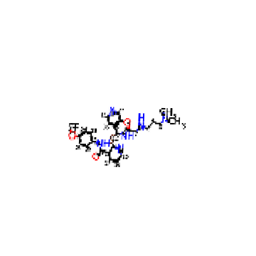 CN(C)CCCNCC(=O)NC(Sc1ncccc1C(=O)Nc1ccc(OC(F)(F)F)cc1)c1ccncc1